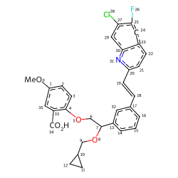 COc1ccc(OCC(OCC2CC2)c2cccc(/C=C/c3ccc4cc(F)c(Cl)cc4n3)c2)c(C(=O)O)c1